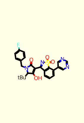 CC(C)(C)C1C(O)=C(C2=NS(=O)(=O)c3c2cccc3-c2cncnc2)C(=O)N1Cc1ccc(F)cc1